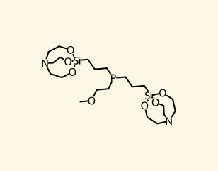 COCCP(CCC[Si]12OCCN(CCO1)CCO2)CCC[Si]12OCCN(CCO1)CCO2